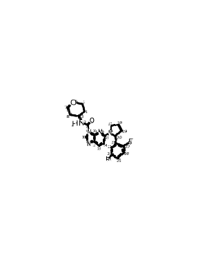 O=C(NC1CCOCC1)n1cnc2ccc(N3CCCC3c3cc(F)ccc3F)nc21